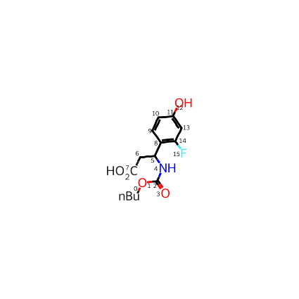 CCCCOC(=O)NC(CC(=O)O)c1ccc(O)cc1F